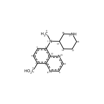 CN(c1ccc(C(=O)O)c2nccnc12)C1CCCNC1